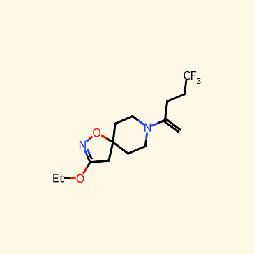 C=C(CCC(F)(F)F)N1CCC2(CC1)CC(OCC)=NO2